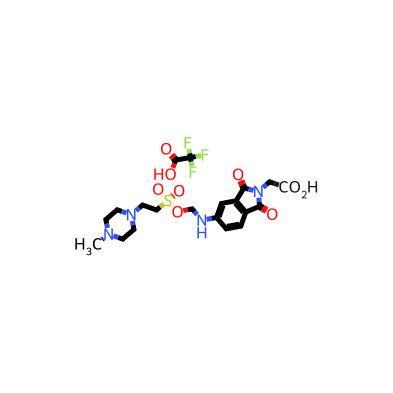 CN1CCN(CCS(=O)(=O)OCNc2ccc3c(c2)C(=O)N(CC(=O)O)C3=O)CC1.O=C(O)C(F)(F)F